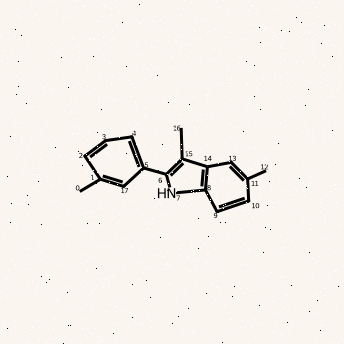 Cc1cccc(-c2[nH]c3ccc(C)cc3c2C)c1